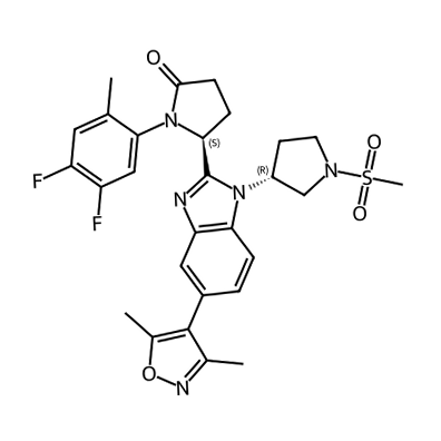 Cc1cc(F)c(F)cc1N1C(=O)CC[C@H]1c1nc2cc(-c3c(C)noc3C)ccc2n1[C@@H]1CCN(S(C)(=O)=O)C1